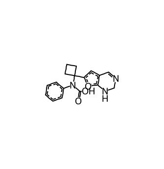 O=C(O)N(c1ccccc1)C1(c2cc3c(o2)NCN=C3)CCC1